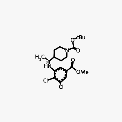 COC(=O)c1cc(Cl)c(Cl)c(N[C@@H](C)C2CCN(C(=O)OC(C)(C)C)CC2)c1